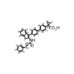 O=C(NC1=C(c2ccc(-c3ccc(C4(C(=O)O)CC4)cc3)cc2)c2ccccc2C1)OCc1ccccc1